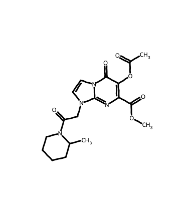 COC(=O)c1nc2n(CC(=O)N3CCCCC3C)ccn2c(=O)c1OC(C)=O